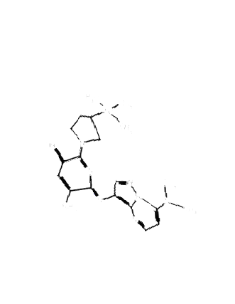 CN(C)c1ccnc2c(/N=C3\N=C(N4CCC([N+](C)(C)C)C4)C(=N)C=C3N)cnn12